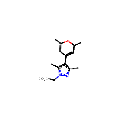 CCOC(=O)Cn1nc(C)c(C2=CC(C)OC(C)C2)c1C